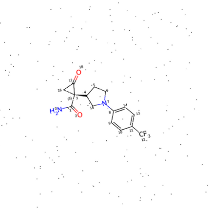 NC(=O)[C@]1(C2CCN(c3ccc(C(F)(F)F)cc3)C2)CC1=O